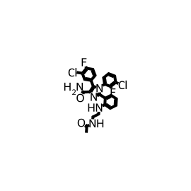 CC(=O)NCCNc1ccccc1-c1nc(C(N)=O)c(-c2ccc(F)c(Cl)c2)n1-c1cccc(Cl)c1F